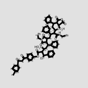 CCC(c1ccccc1)C(C(=O)Oc1ccc(C(=O)CC(=O)c2ccc(C)cc2)cc1)C(CC(c1ccccc1)C1C(=O)N(CC(C)C)C(=O)C1CC(c1ccccc1)C(C(=O)NCC(C)C)C(CC(c1ccccc1)C1C(=O)OC(=O)C1C)C(=O)O)C(=O)O